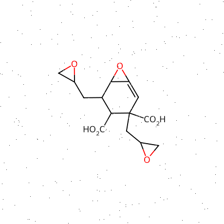 O=C(O)C1C(CC2CO2)C2OC2=CC1(CC1CO1)C(=O)O